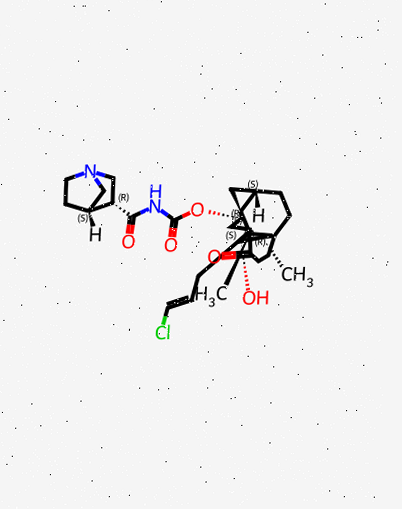 C[C@H]1[C@H](O)[C@](C)(CC=CCl)C[C@@H](OC(=O)NC(=O)[C@H]2CN3CC[C@@H]2C3)[C@]23C[C@@H]2CCC12CCC(=O)C23